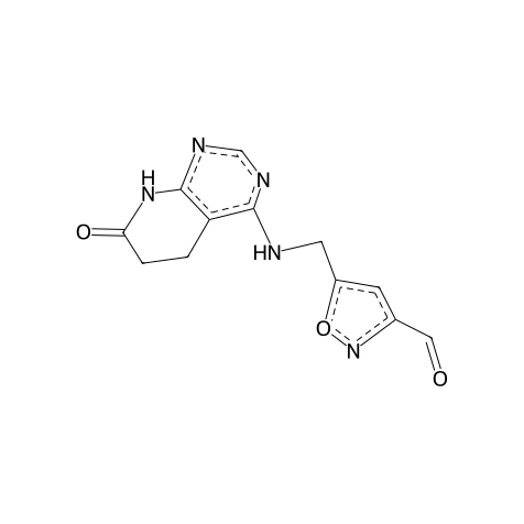 O=Cc1cc(CNc2ncnc3c2CCC(=O)N3)on1